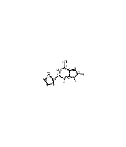 Cc1cc2c(Cl)nc(-c3ccco3)nc2s1